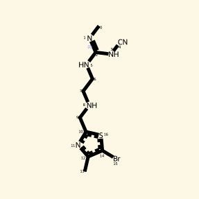 C/N=C(\NC#N)NCCNCc1nc(C)c(Br)s1